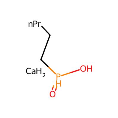 CCCCC[PH](=O)O.[CaH2]